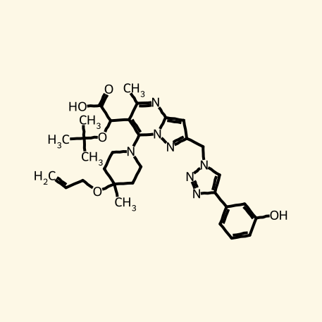 C=CCOC1(C)CCN(c2c(C(OC(C)(C)C)C(=O)O)c(C)nc3cc(Cn4cc(-c5cccc(O)c5)nn4)nn23)CC1